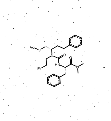 CC(=O)SC[C@H](CCc1ccccc1)N(CCC(C)C)C(=O)N[C@@H](Cc1ccccc1)C(=O)N(C)C